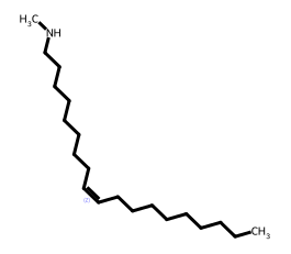 CCCCCCCCC/C=C\CCCCCCCCNC